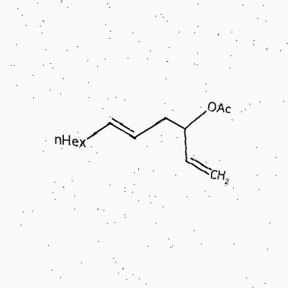 C=CC(C/C=C/CCCCCC)OC(C)=O